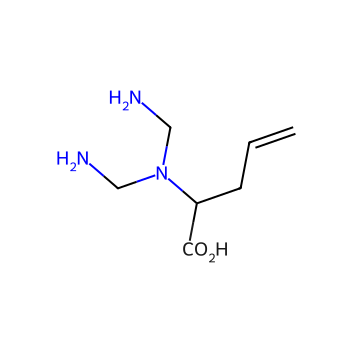 C=CCC(C(=O)O)N(CN)CN